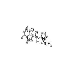 Cc1cn(C)c(=O)c2c(C(=O)Nc3ccnn3CC(F)(F)F)cn(C)c12